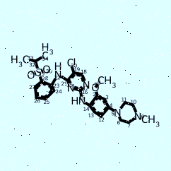 COc1cc(N2CCN(C)CC2)ccc1Nc1ncc(Cl)c(Nc2ccccc2S(=O)(=O)C(C)C)n1